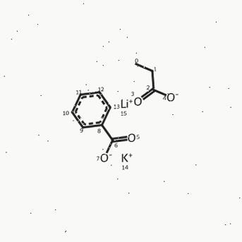 CCC(=O)[O-].O=C([O-])c1ccccc1.[K+].[Li+]